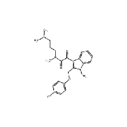 CN(C)CCCN(C)C(=O)C(=O)c1c(COc2ccc(Cl)cc2)n(C)c2ccccc12